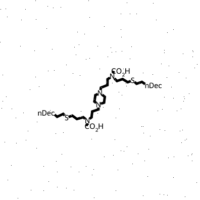 CCCCCCCCCCCCSCCCN(CCCN1CCN(CCCN(CCCSCCCCCCCCCCCC)C(=O)O)CC1)C(=O)O